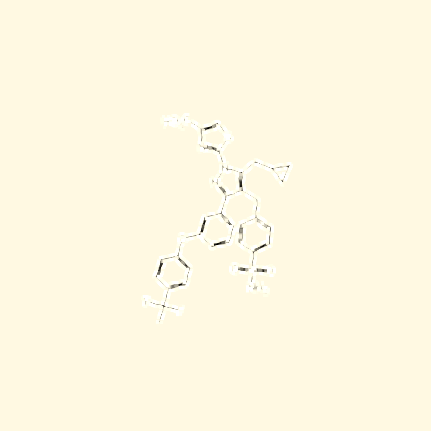 CC(F)(F)c1ccc(Oc2cccc(-c3nn(-c4nc(C(=O)O)cs4)c(CC4CC4)c3Cc3ccc(S(N)(=O)=O)cc3)c2)cc1